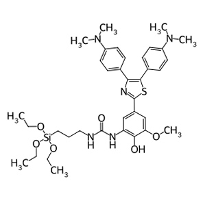 CCO[Si](CCCNC(=O)Nc1cc(-c2nc(-c3ccc(N(C)C)cc3)c(-c3ccc(N(C)C)cc3)s2)cc(OC)c1O)(OCC)OCC